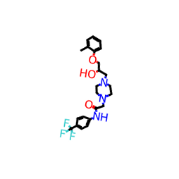 Cc1ccccc1OCC(O)CN1CCN(CC(=O)Nc2ccc(C(F)(F)F)cc2)CC1